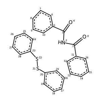 O=C(NC(=O)c1ccccc1)c1ccccc1.c1ccc(SSc2ccccc2)cc1